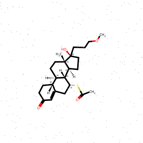 COCCC[C@]1(O)CC[C@H]2[C@H]3[C@H](CC[C@@]21C)[C@H]1CCC(=O)C=C1C[C@H]3SC(C)=O